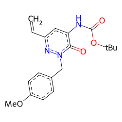 C=Cc1cc(NC(=O)OC(C)(C)C)c(=O)n(Cc2ccc(OC)cc2)n1